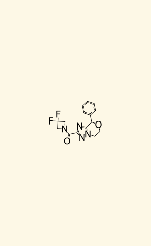 O=C(c1nc2n(n1)CCOC2c1ccccc1)N1CC(F)(F)C1